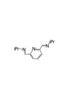 CC(C)N=Cc1cccc(C=NC(C)C)n1